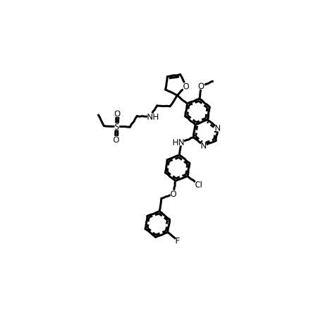 CCS(=O)(=O)CCNCCC1(c2cc3c(Nc4ccc(OCc5cccc(F)c5)c(Cl)c4)ncnc3cc2OC)CC=CO1